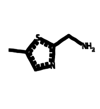 Cc1cnc(CN)s1